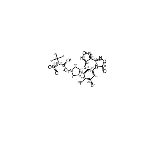 CC(C)(C)N(C(=O)ON1CC[C@@H](Sc2nonc2-c2noc(=O)n2-c2ccc(F)c(Br)c2)C1)[SH](=O)=O